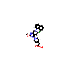 COc1nc2c(c(N3CCC(CC(=O)O)CC3)n1)CCN(c1cccc3cccc(Cl)c13)C2